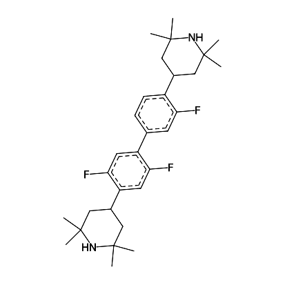 CC1(C)CC(c2ccc(-c3cc(F)c(C4CC(C)(C)NC(C)(C)C4)cc3F)cc2F)CC(C)(C)N1